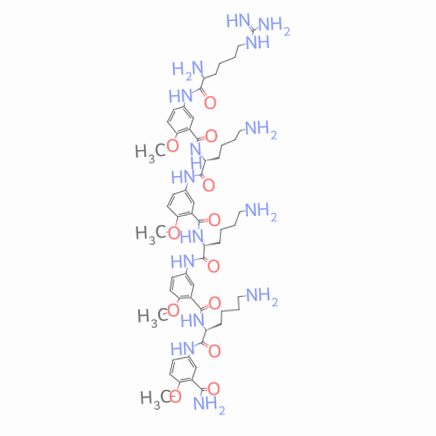 COc1ccc(NC(=O)[C@H](CCCCN)NC(=O)c2cc(NC(=O)[C@H](CCCCN)NC(=O)c3cc(NC(=O)[C@H](CCCCN)NC(=O)c4cc(NC(=O)[C@@H](N)CCCCNC(=N)N)ccc4OC)ccc3OC)ccc2OC)cc1C(N)=O